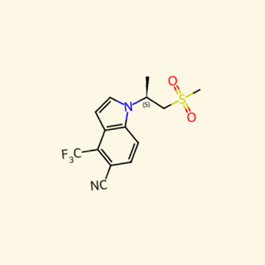 C[C@@H](CS(C)(=O)=O)n1ccc2c(C(F)(F)F)c(C#N)ccc21